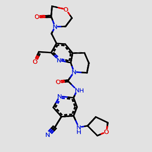 N#Cc1cnc(NC(=O)N2CCCc3cc(CN4CCOCC4=O)c(C=O)nc32)cc1NC1CCOC1